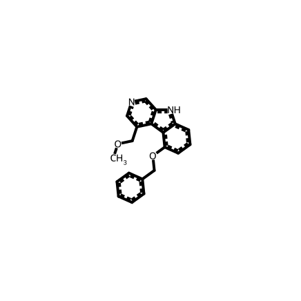 COCc1cncc2[nH]c3cccc(OCc4ccccc4)c3c12